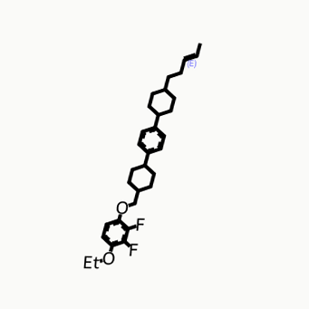 C/C=C/CCC1CCC(c2ccc(C3CCC(COc4ccc(OCC)c(F)c4F)CC3)cc2)CC1